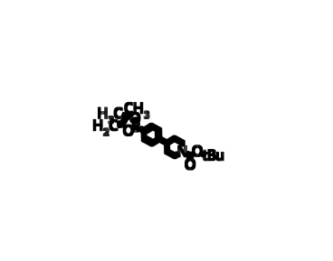 C=C1OB(c2ccc(C3CCN(C(=O)OC(C)(C)C)CC3)cc2)OC1(C)C